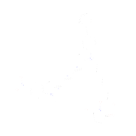 CCN1/C(=C/C=C/C=C/C2=[N+](CCCCCC(=O)ON3C(=O)CCC3=O)c3ccc(-c4cccs4)cc3C2(C)C)C(C)(C)c2cc([N+](=O)[O-])ccc21